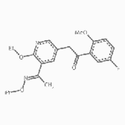 CCOc1ncc(CC(=O)c2cc(F)ccc2OC)cc1/C(C)=N/OC(C)C